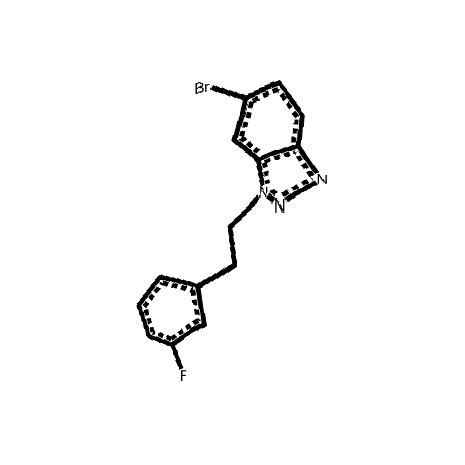 Fc1cccc(CCn2nnc3ccc(Br)cc32)c1